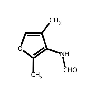 Cc1coc(C)c1NC=O